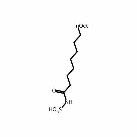 CCCCCCCCCCCCCCCC(=O)NS(=O)(=O)O